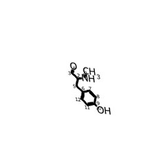 CNC(C=O)Cc1ccc(O)cc1